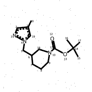 Cc1cnn(CC2CCCN(C(=O)OC(C)(C)C)C2)c1